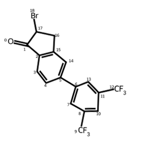 O=C1c2ccc(-c3cc(C(F)(F)F)cc(C(F)(F)F)c3)cc2CC1Br